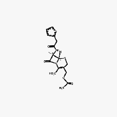 C[C@@]1(NC(=O)Cc2cccs2)C(=O)N2C(C(=O)O)=C(COC(N)=O)CS[C@H]21